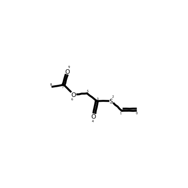 C=CSC(=O)COC(C)=O